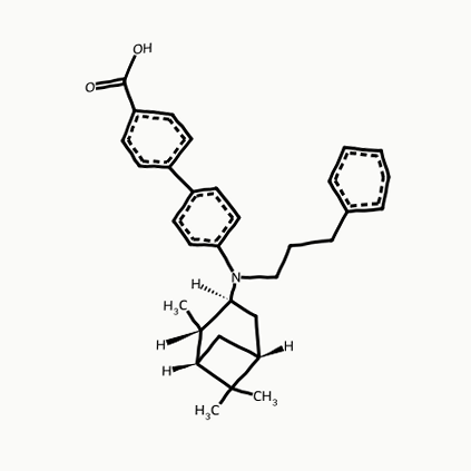 C[C@@H]1[C@@H](N(CCCc2ccccc2)c2ccc(-c3ccc(C(=O)O)cc3)cc2)C[C@H]2C[C@@H]1C2(C)C